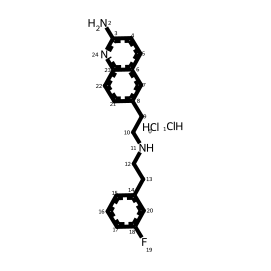 Cl.Cl.Nc1ccc2cc(CCNCCc3cccc(F)c3)ccc2n1